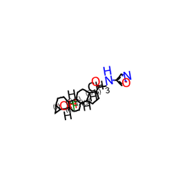 C[C@]12CC[C@H]3[C@@H](CC[C@@H]4C5C[C@@]5(O)CC[C@@]43F)[C@@H]1CC[C@@H]2C(=O)CNc1cnoc1